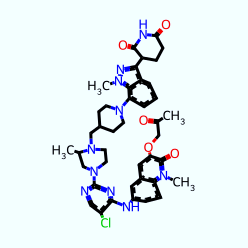 CC(=O)COc1cc2cc(Nc3nc(N4CCN(CC5CCN(c6cccc7c(C8CCC(=O)NC8=O)nn(C)c67)CC5)C(C)C4)ncc3Cl)ccc2n(C)c1=O